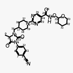 CC1C(=O)N(c2ccc(C#N)cc2)C(=O)N1CC1CCN(c2ncc(C(=O)NOC3CCCCO3)cn2)CC1